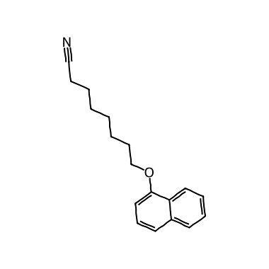 N#CCCCCCCCOc1cccc2ccccc12